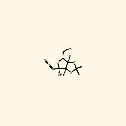 CC1(C)O[C@H]2[C@H](CO)O[C@@](O)(N=[N+]=[N-])[C@H]2O1